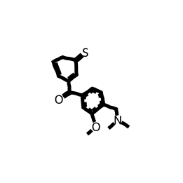 COc1cc(C(=O)C2=CC(=S)CC=C2)ccc1CN(C)C